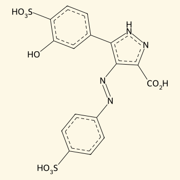 O=C(O)c1n[nH]c(-c2ccc(S(=O)(=O)O)c(O)c2)c1N=Nc1ccc(S(=O)(=O)O)cc1